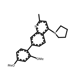 COc1ccc(-c2ccc3c(N4CCCC4)cc(C)nc3c2)c(OC)c1